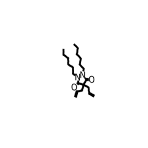 C=CCC1(CC=C)C(=O)N(CCCCCC)N(CCCCCC)C1=O